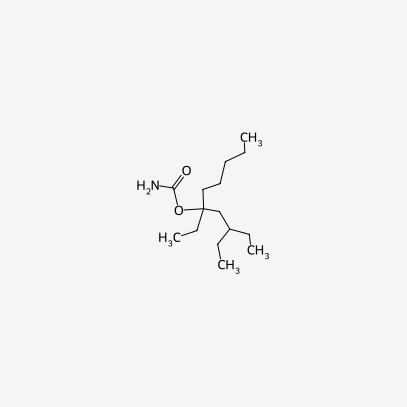 CCCCCC(CC)(CC(CC)CC)OC(N)=O